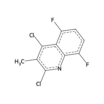 Cc1c(Cl)nc2c(F)ccc(F)c2c1Cl